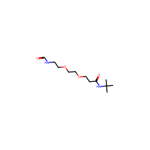 CC(C)(C)NC(=O)CCOCCOCCNC=O